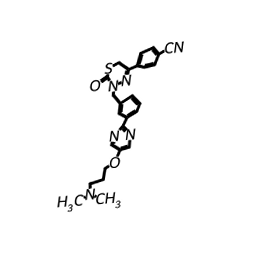 CN(C)CCCOc1cnc(-c2cccc(CN3N=C(c4ccc(C#N)cc4)CSC3=O)c2)nc1